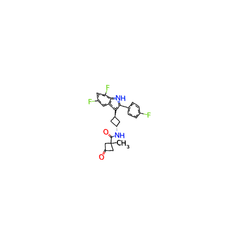 CC1(C(=O)N[C@H]2C[C@H](c3c(-c4ccc(F)cc4)[nH]c4c(F)cc(F)cc43)C2)CC(=O)C1